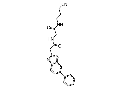 N#CCCCNC(=O)CNC(=O)Cc1nc2ccc(-c3ccccc3)cc2s1